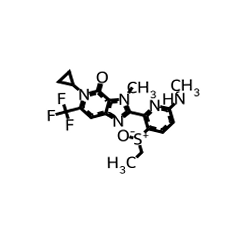 CC[S+]([O-])c1ccc(NC)nc1-c1nc2cc(C(F)(F)F)n(C3CC3)c(=O)c2n1C